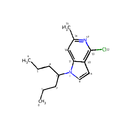 CCCC(CCC)n1c[c]c2c(Cl)nc(C)cc21